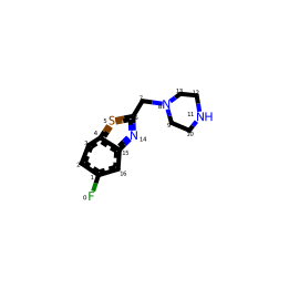 Fc1ccc2sc(CN3CCNCC3)nc2c1